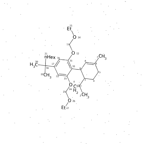 C=C(C)C1CCC(C)=CC1c1c(OCOCC)cc(C(C)(C)CCCCCC)cc1OCOCC